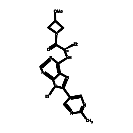 CC[C@@H](Nc1ncnc2c1nc(-c1cnc(C)nc1)n2CC)C(=O)N1CC(OC)C1